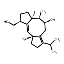 CC(C)C1=C2C[C@H](O)[C@H](C)[C@@H]3CC[C@H](CO)/C3=C/[C@@]2(C)CC1